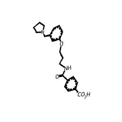 O=C(O)c1ccc(C(=O)NCCCOc2cccc(CN3CCCC3)c2)cc1